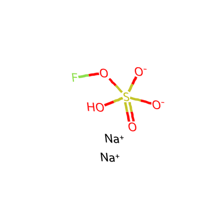 O=S([O-])([O-])(O)OF.[Na+].[Na+]